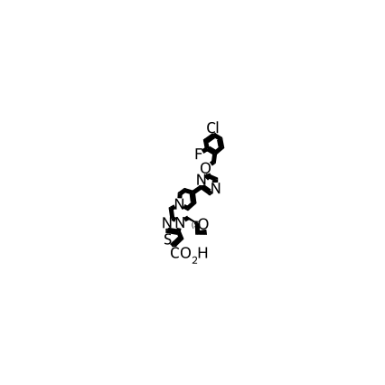 O=C(O)c1cc2c(nc(CN3CC=C(c4cncc(OCc5ccc(Cl)cc5F)n4)CC3)n2C[C@@H]2CCO2)s1